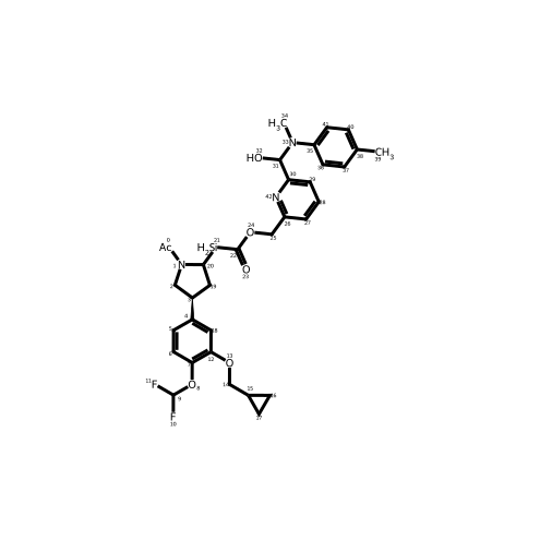 CC(=O)N1C[C@H](c2ccc(OC(F)F)c(OCC3CC3)c2)CC1[SiH2]C(=O)OCc1cccc(C(O)N(C)c2ccc(C)cc2)n1